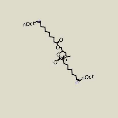 CCCCCCCC/C=C\CCCCCCCC(=O)OCC(C[PH](C)(C)C)OC(=O)CCCCCCC/C=C\CCCCCCCC